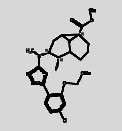 COCOc1cc(Cl)ccc1-c1nnc(N(C)[C@@H]2CC3N4C(CCC[C@]34C(=O)OC(C)(C)C)[C@@H]2F)s1